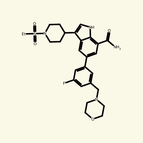 CCS(=O)(=O)N1CCC(c2c[nH]c3c(C(N)=O)cc(-c4cc(F)cc(CN5CCOCC5)c4)cc23)CC1